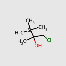 [CH2]C(O)(CCl)[Si](C)(C)C